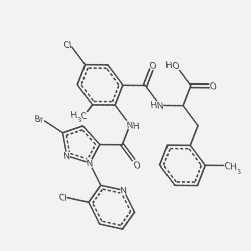 Cc1ccccc1CC(NC(=O)c1cc(Cl)cc(C)c1NC(=O)c1cc(Br)nn1-c1ncccc1Cl)C(=O)O